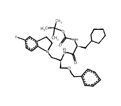 CC(C)(C)OC(=O)N[C@@H](CC1CCCCC1)C(=O)N[C@@H](COCc1ccccc1)CN1CCc2cc(F)ccc21